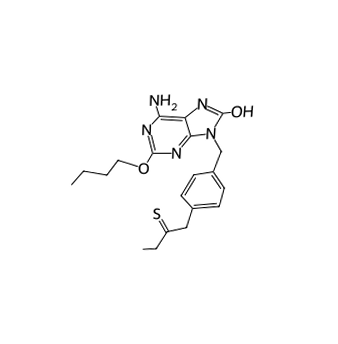 CCCCOc1nc(N)c2nc(O)n(Cc3ccc(CC(=S)CC)cc3)c2n1